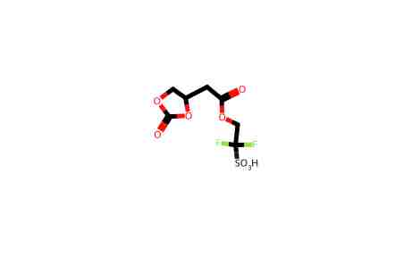 O=C(CC1COC(=O)O1)OCC(F)(F)S(=O)(=O)O